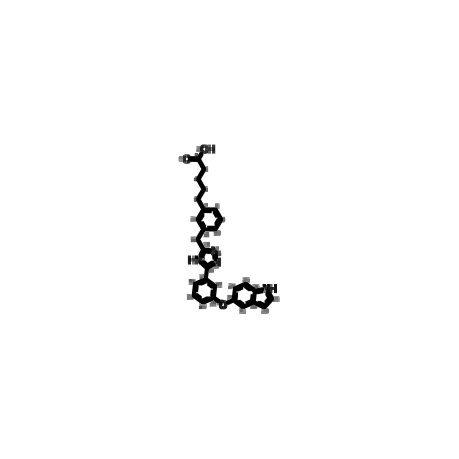 O=C(O)CCCCc1cccc(Cc2nnc(-c3cccc(Oc4ccc5[nH]ccc5c4)c3)[nH]2)c1